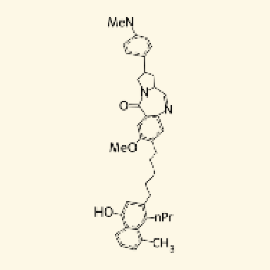 CCCc1c(CCCCCc2cc3c(cc2OC)C(=O)N2CC(c4ccc(NC)cc4)CC2C=N3)cc(O)c2cccc(C)c12